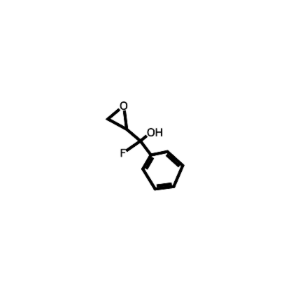 OC(F)(c1ccccc1)C1CO1